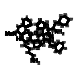 CN[C@@H](Cc1ccccc1)C(=O)N[C@@H](CCCCN)C(=O)N1CCC[C@H]1C(=O)C(NC(=O)[C@H](N)CC1CCCCC1)(C(=O)[C@H](N)CC1CCCCC1)c1ccccc1